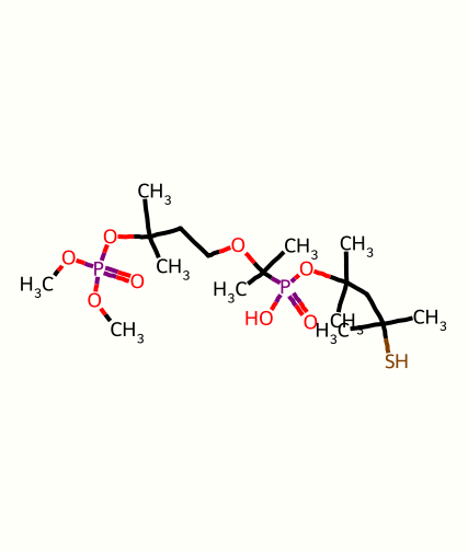 COP(=O)(OC)OC(C)(C)CCOC(C)(C)P(=O)(O)OC(C)(C)CC(C)(C)S